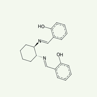 Oc1ccccc1C=N[C@@H]1CCCC[C@H]1N=Cc1ccccc1O